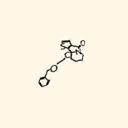 O=C1c2ccsc2C2(CCCOCc3ccccc3)CCCCN12